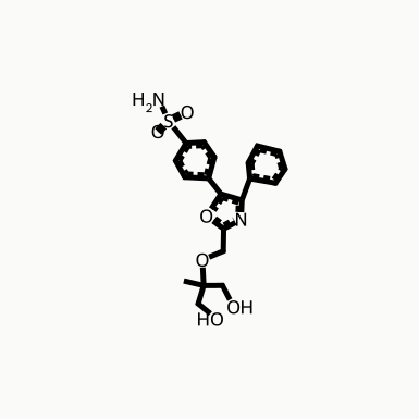 CC(CO)(CO)OCc1nc(-c2ccccc2)c(-c2ccc(S(N)(=O)=O)cc2)o1